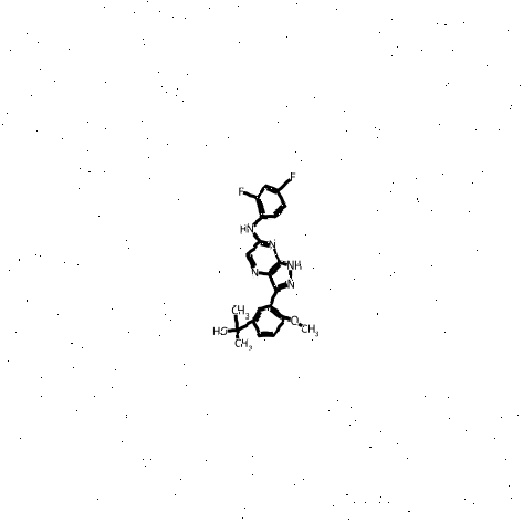 COc1ccc(C(C)(C)O)cc1-c1n[nH]c2nc(Nc3ccc(F)cc3F)cnc12